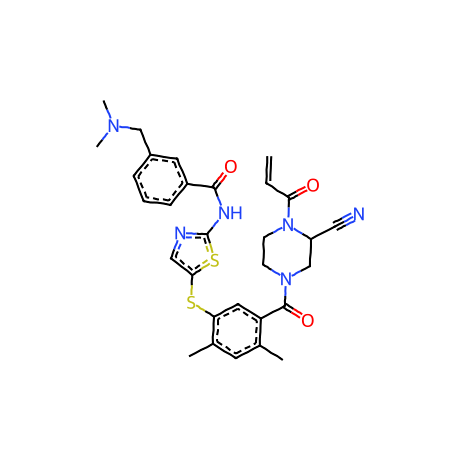 C=CC(=O)N1CCN(C(=O)c2cc(Sc3cnc(NC(=O)c4cccc(CN(C)C)c4)s3)c(C)cc2C)CC1C#N